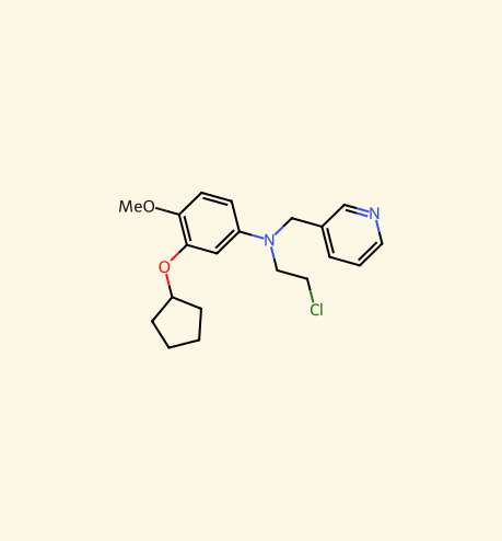 COc1ccc(N(CCCl)Cc2cccnc2)cc1OC1CCCC1